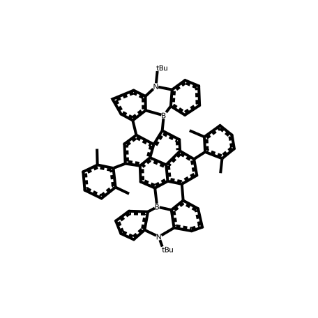 Cc1cccc(C)c1-c1cc2c3c(cc4c(-c5c(C)cccc5C)cc5c6c(cc1c3c46)B1c3ccccc3N(C(C)(C)C)c3cccc-5c31)B1c3ccccc3N(C(C)(C)C)c3cccc-2c31